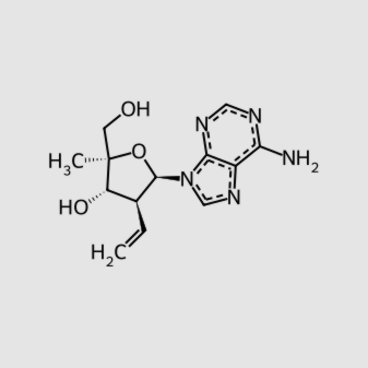 C=C[C@@H]1[C@H](n2cnc3c(N)ncnc32)O[C@](C)(CO)[C@H]1O